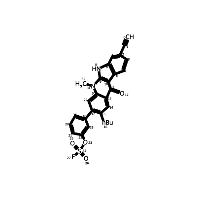 C#Cc1ccc2c(c1)[nH]c1c2c(=O)c2cc(CCCC)c(-c3cccc(OS(=O)(=O)F)c3)cc2n1C